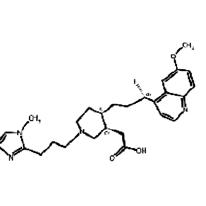 COc1ccc2nccc([C@@H](F)CC[C@@H]3CCN(CCCc4nccn4C)C[C@@H]3CC(=O)O)c2c1